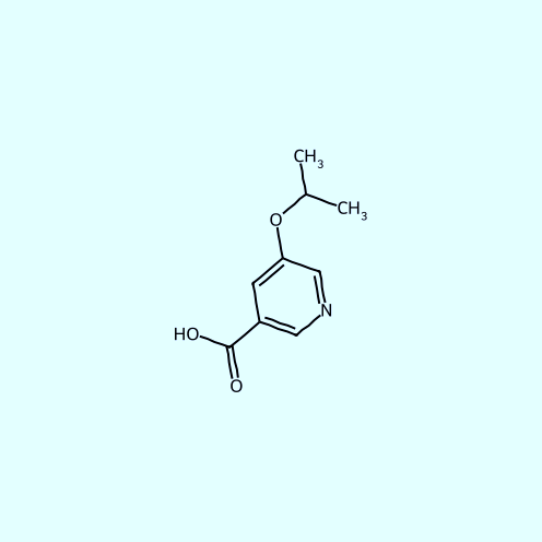 CC(C)Oc1cncc(C(=O)O)c1